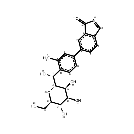 Cc1cc(-c2ccc3c(c2)C(=O)N=C3)ccc1[C@@H](O)[C@H]1O[C@H](CO)[C@@H](O)[C@H](O)[C@@H]1O